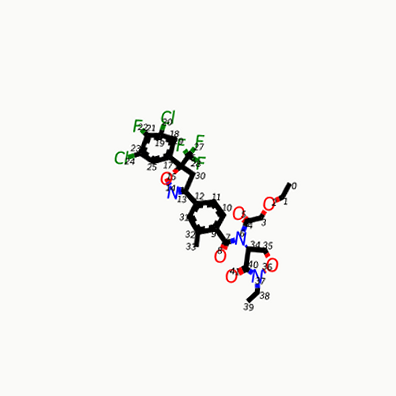 CCOCC(=O)N(C(=O)c1ccc(C2=NOC(c3cc(Cl)c(F)c(Cl)c3)(C(F)(F)F)C2)cc1C)[C@@H]1CON(CC)C1=O